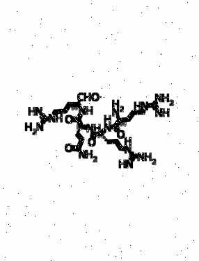 N=C(N)NCCC[C@H]([C]=O)NC(=O)[C@@H](CCC(N)=O)NC(=O)[C@@H](CCCNC(=N)N)NC(=O)[C@@H](N)CCCNC(=N)N